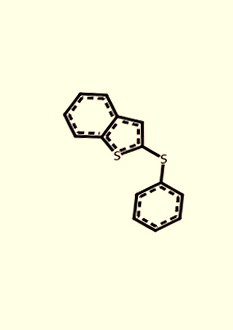 c1ccc(Sc2cc3ccccc3s2)cc1